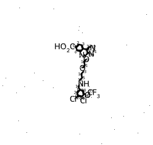 O=C(O)c1ccc2c(c1)nc(OCCOCCCCNCc1cc(Cl)c(Cl)c(OC(F)(F)F)c1)c1ncncc12